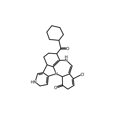 O=C(C1CCCCC1)C1CCC2C3=CNCC=C3N3C2=C1NC=C1C(Cl)=CCC(=O)C13